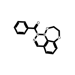 O=C(c1ccccc1)N1N=Cc2cccc3c2B1OCCO3